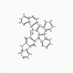 Clc1nc2c(nc1-n1c3ccccc3c3c4ccccc4c4c5ccc6ccccc6c5sc4c31)-c1ccccc1C2